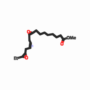 CCC1OC1C/C=C\CC1OC1CCCCCCCC(=O)OC